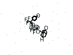 COc1ccc(/C(=N\OS(=O)(=O)C(F)(F)C(=O)OCC23CC4C[C@H](C2)CC(OC)(C4)C3)C(F)(F)F)cc1